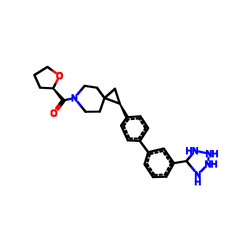 O=C([C@H]1CCCO1)N1CCC2(CC1)C[C@H]2c1ccc(-c2cccc(C3NNNN3)c2)cc1